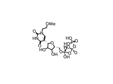 COCCn1cc([C@@H]2O[C@H](COP(=O)(O)OP(=O)(O)OP(=O)(O)O)C(O)C2O)c(=O)[nH]c1=O